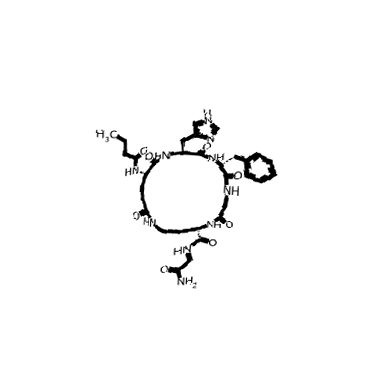 CCCC(=O)N[C@H]1CCC(=O)NCC[C@@H](C(=O)NCC(N)=O)NC(=O)CNC(=O)[C@@H](Cc2ccccc2)NC(=O)[C@H](Cc2c[nH]cn2)NC1=O